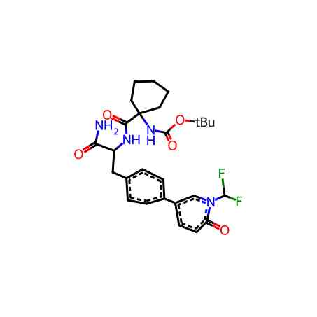 CC(C)(C)OC(=O)NC1(C(=O)NC(Cc2ccc(-c3ccc(=O)n(C(F)F)c3)cc2)C(N)=O)CCCCC1